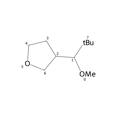 COC(C1CCOC1)C(C)(C)C